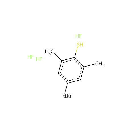 Cc1cc(C(C)(C)C)cc(C)c1S.F.F.F